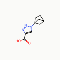 O=C(O)c1cn(C23CCC(C2)C3)nn1